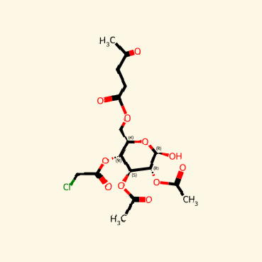 CC(=O)CCC(=O)OC[C@H]1O[C@@H](O)[C@H](OC(C)=O)[C@@H](OC(C)=O)[C@@H]1OC(=O)CCl